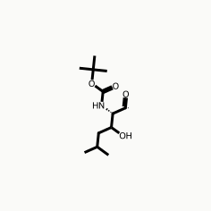 CC(C)CC(O)[C@@H]([C]=O)NC(=O)OC(C)(C)C